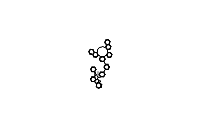 c1ccc(N(c2cccc(-c3cccc(-c4ccc5c(c4)-c4ccccc4-c4ccc6ccccc6c4CCCc4c-5ccc5ccccc45)c3)c2)c2cccc3c2sc2ccccc23)cc1